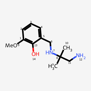 COc1cccc(CNC(C)(C)CN)c1O